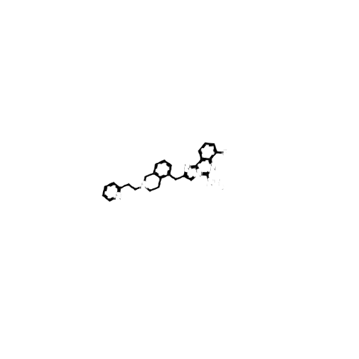 Nc1nc2c(F)cccc2c2nc(Cc3cccc4c3CCN(CCc3ccccn3)C4)cn12